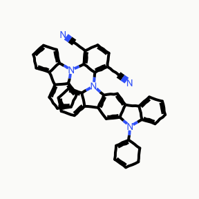 N#Cc1ccc(C#N)c(-n2c3ccccc3c3cc4c(cc32)c2ccccc2n4C2=CC=CCC2)c1-n1c2ccccc2c2ccccc21